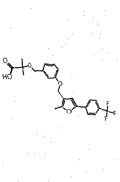 Cc1oc(-c2ccc(C(F)(F)F)cc2)cc1COc1cccc(COC(C)(C)C(=O)O)c1